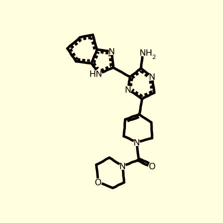 Nc1ncc(C2=CCN(C(=O)N3CCOCC3)CC2)nc1-c1nc2ccccc2[nH]1